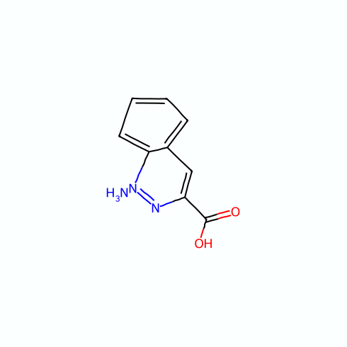 N.O=C(O)c1cc2ccccc2nn1